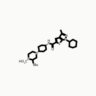 Cc1nn(C2CCCCC2)c2sc(C(=O)N[C@H]3CC[C@@H](N4CCN(C(=O)O)C(C(C)(C)C)C4)CC3)cc12